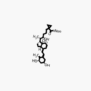 C=C1/C(=C\C=C2/CCC[C@]3(C)[C@@H]([C@H](C)[C@H](O)CCCC4(C(=O)CCCCCCCCC)CC4)CC[C@@H]23)C[C@@H](O)C[C@@H]1O